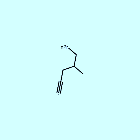 [C]#CCC(C)CCCC